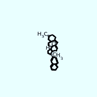 C[C@@H]1CCC2=CC3=CC[C@]4(C)[C@@H](c5ccc6ccccc6c5)CC[C@H]4[C@@]34CCC2(C1)O4